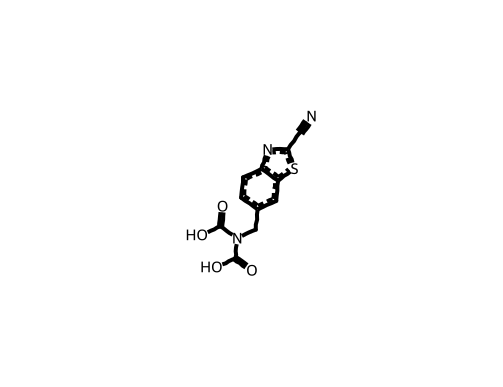 N#Cc1nc2ccc(CN(C(=O)O)C(=O)O)cc2s1